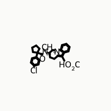 CN(C(=O)C1(c2ccc(Cl)cc2)CCCC1)[C@@H]1CCc2c(CC(=O)O)c3ccccc3n2C1